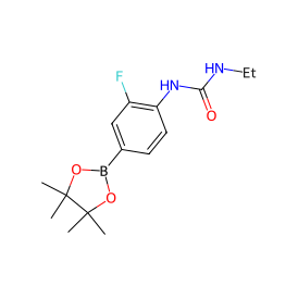 CCNC(=O)Nc1ccc(B2OC(C)(C)C(C)(C)O2)cc1F